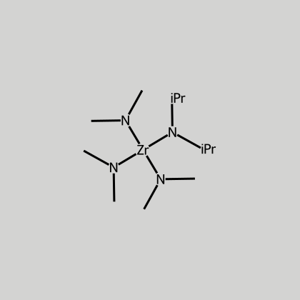 CC(C)[N](C(C)C)[Zr]([N](C)C)([N](C)C)[N](C)C